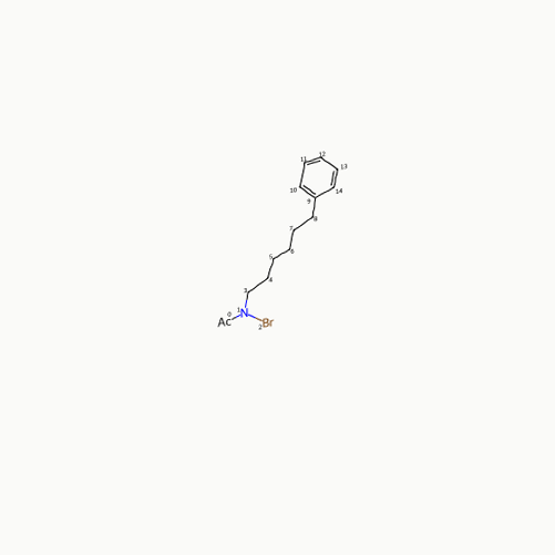 CC(=O)N(Br)CCCCCCc1ccccc1